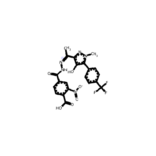 C/C(=N/NC(=O)c1ccc(C(=O)O)c([N+](=O)[O-])c1)c1nn(C)c(-c2ccc(C(F)(F)F)cc2)c1O